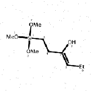 CCC=C(O)CC[Si](OC)(OC)OC